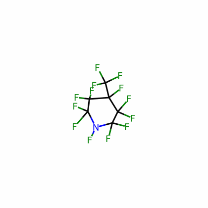 FN1C(F)(F)C(F)(F)C(F)(C(F)(F)F)C(F)(F)C1(F)F